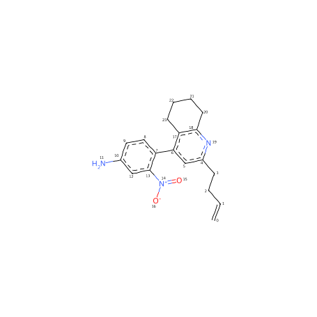 C=CC[CH]c1cc(-c2ccc(N)cc2[N+](=O)[O-])c2c(n1)CCCC2